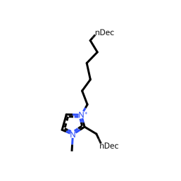 CCCCCCCCCCCCCCCC[n+]1ccn(C)c1CCCCCCCCCCC